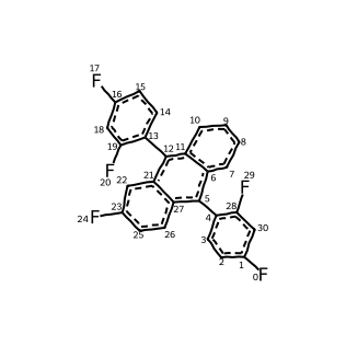 Fc1ccc(-c2c3ccccc3c(-c3ccc(F)cc3F)c3cc(F)ccc23)c(F)c1